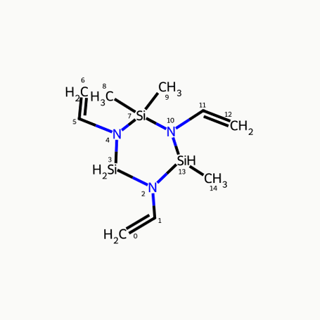 C=CN1[SiH2]N(C=C)[Si](C)(C)N(C=C)[SiH]1C